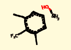 Cc1cccc(C)c1C(F)(F)F.O[SiH3]